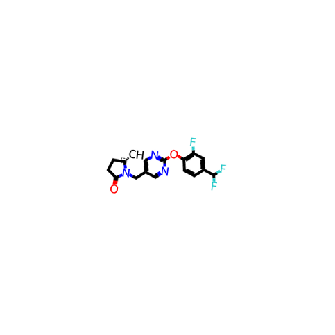 C[C@H]1CCC(=O)N1Cc1cnc(Oc2ccc(C(F)F)cc2F)nc1